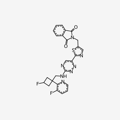 O=C1c2ccccc2C(=O)N1Cc1cnc(-c2cnc(NCC3(c4ncccc4F)CC(F)C3)nn2)s1